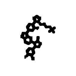 C[Si](C)(C)CCOCn1ncnc1-c1ccc(-c2cnn3ccc(N4C(=O)OCC4c4ccc(F)c(Cl)c4)nc23)cc1F